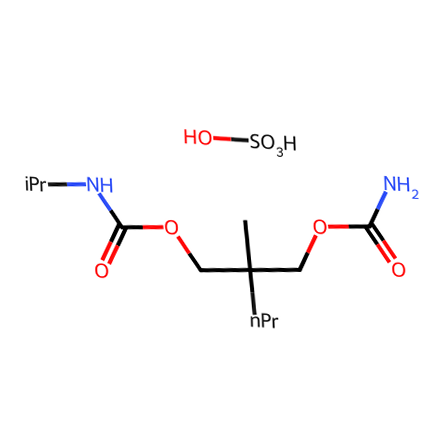 CCCC(C)(COC(N)=O)COC(=O)NC(C)C.O=S(=O)(O)O